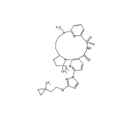 CN1CCCC2CCC(C)(C)N2c2nc(-n3ccc(OCCC4(C(F)(F)F)CC4)n3)ccc2C(=O)NS(=O)(=O)c2cccc1n2